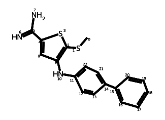 CSc1sc(C(=N)N)cc1Nc1ccc(-c2ccccc2)cc1